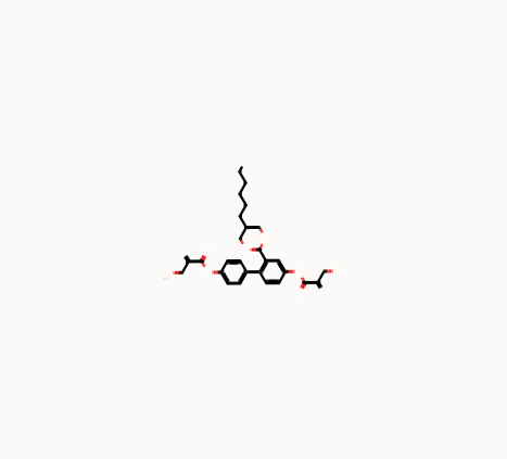 C=C(COC)C(=O)Oc1ccc(-c2ccc(OC(=O)C(=C)COC)cc2C2OCC(CCCCCC)CO2)cc1